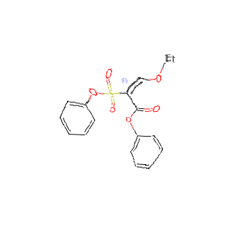 CCO/C=C(\C(=O)Oc1ccccc1)S(=O)(=O)Oc1ccccc1